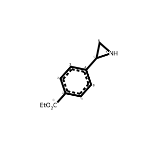 CCOC(=O)c1ccc(C2CN2)cc1